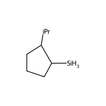 CC(C)C1CCCC1[SiH3]